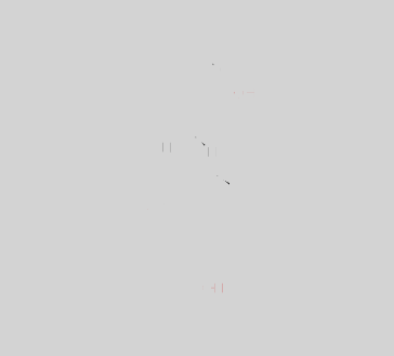 CC(=O)[C@@]1(O)CC[C@H]2[C@@H]3CC(=O)C4=CC(O)C=C[C@]4(C)[C@H]3CC[C@@]21C